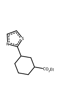 CCOC(=O)C1CCCC(c2nccs2)C1